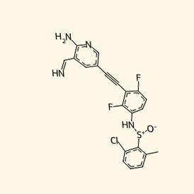 Cc1cccc(Cl)c1[S+]([O-])Nc1ccc(F)c(C#Cc2cnc(N)c(C=N)c2)c1F